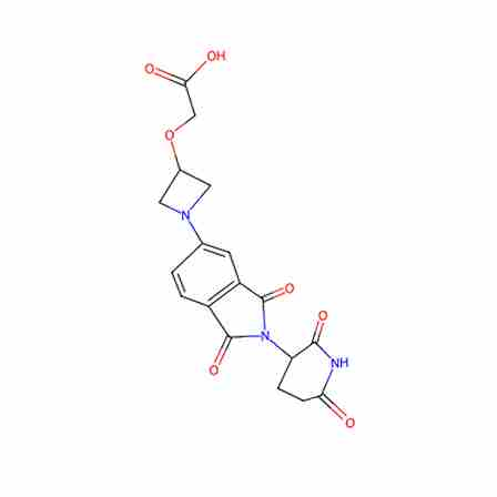 O=C(O)COC1CN(c2ccc3c(c2)C(=O)N(C2CCC(=O)NC2=O)C3=O)C1